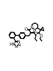 CCCc1c(Cc2ccc(-c3ccccc3-c3nnn[nH]3)cc2)c(=O)n2n1C(C1(C(=O)OCC)CC1)CCC2